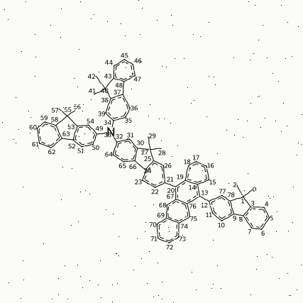 CC1(C)c2ccccc2-c2ccc(-c3c4ccccc4c(-c4ccc5c(c4)C(C)(C)c4cc(N(c6ccc7c(c6)C(C)(C)c6ccccc6-7)c6ccc7c(c6)C(C)(C)c6ccccc6-7)ccc4-5)c4cc5ccccc5cc34)cc21